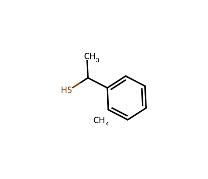 C.CC(S)c1ccccc1